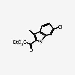 CCOC(=O)C(=O)c1sc2cc(Cl)ccc2c1C